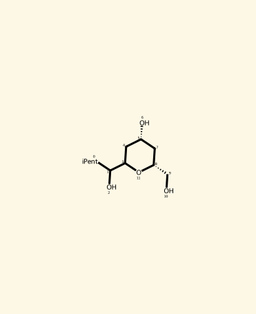 CCCC(C)C(O)C1C[C@H](O)C[C@H](CO)O1